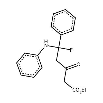 CCOC(=O)CC(=O)CC(F)(Nc1ccccc1)c1ccccc1